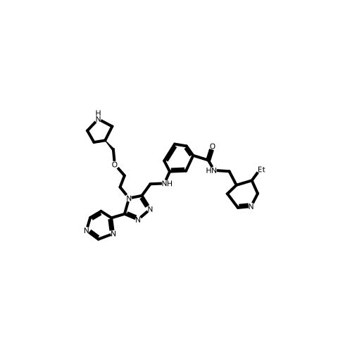 CCC1CN=CCC1CNC(=O)c1cccc(NCc2nnc(-c3ccncn3)n2CCOC[C@H]2CCNC2)c1